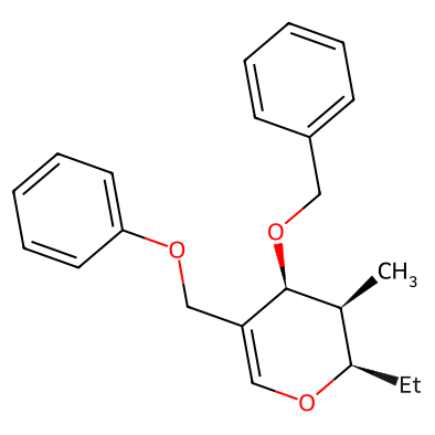 CC[C@H]1OC=C(COc2ccccc2)[C@@H](OCc2ccccc2)[C@H]1C